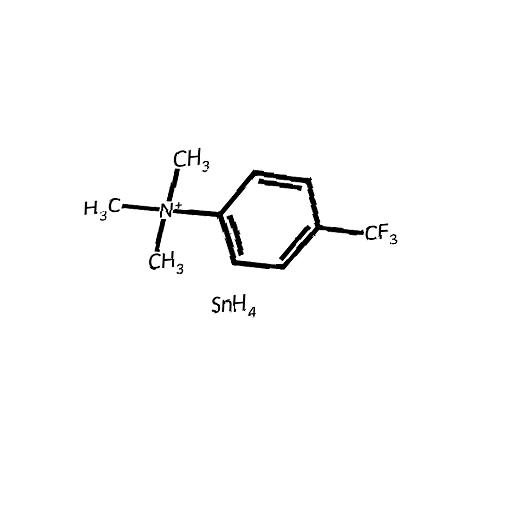 C[N+](C)(C)c1ccc(C(F)(F)F)cc1.[SnH4]